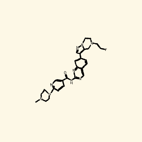 CN1CCN(c2ccc(C(=O)Nc3ncc4ccc(-c5cnn6c5CN(CCF)CC6)cc4n3)cn2)CC1